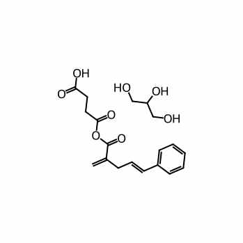 C=C(CC=Cc1ccccc1)C(=O)OC(=O)CCC(=O)O.OCC(O)CO